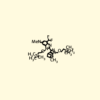 CNc1cc(C(F)F)c2nc(-c3nn(COCC[Si](C)(C)C)c4c3C3CC(C)(C4)C3)n(COCC[Si](C)(C)C)c2c1